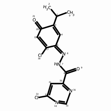 CC(C)C1=CC(=NNC(=O)c2cc(Cl)ncn2)C(Cl)=CC1=O